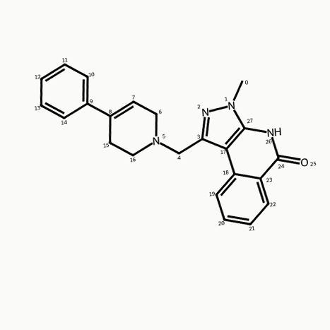 Cn1nc(CN2CC=C(c3ccccc3)CC2)c2c3ccccc3c(=O)[nH]c21